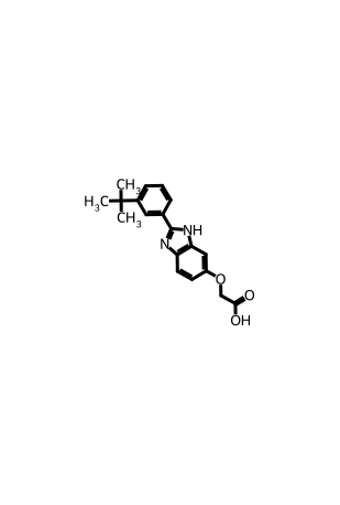 CC(C)(C)c1cccc(-c2nc3ccc(OCC(=O)O)cc3[nH]2)c1